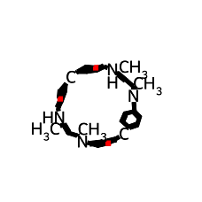 C/C1=C/C(C)=N/c2ccc(cc2)Cc2ccc(cc2)/N=C(C)/C=C(/C)Nc2ccc(cc2)Cc2ccc(cc2)N1